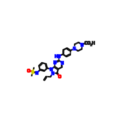 C=CCn1c(=O)c2cnc(Nc3ccc(N4CCN(C(=O)O)CC4)cc3)nc2n1-c1cccc(N=S(C)(C)=O)c1